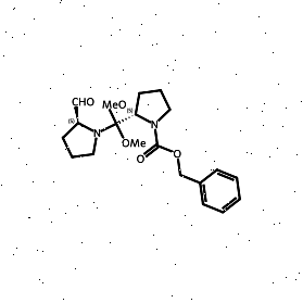 COC(OC)([C@@H]1CCCN1C(=O)OCc1ccccc1)N1CCC[C@H]1C=O